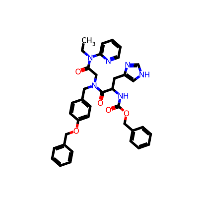 CCN(C(=O)CN(Cc1ccc(OCc2ccccc2)cc1)C(=O)C(Cc1c[nH]cn1)NC(=O)OCc1ccccc1)c1ccccn1